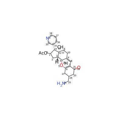 CC(=O)OC1C[C@H]2[C@@H]3OC4=C(C=C3CC[C@]2(C)[C@H]1c1cccnc1)C(=O)CC(CN)C4